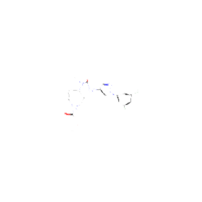 CN(C(=O)Nc1cnn(-c2cc(F)cc(F)c2)c1)C1CCN(C(=O)OC(C)(C)C)CC1